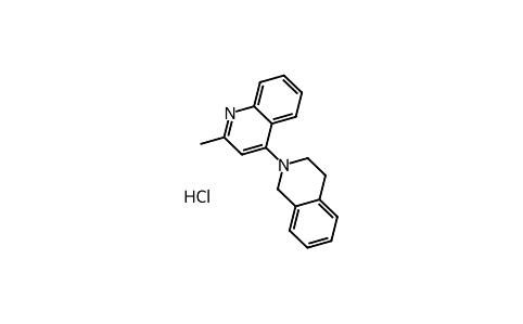 Cc1cc(N2CCc3ccccc3C2)c2ccccc2n1.Cl